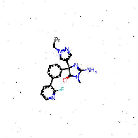 CC(C)Cn1cc(C2(c3cccc(-c4cccnc4F)c3)N=C(N)N(C)C2=O)cn1